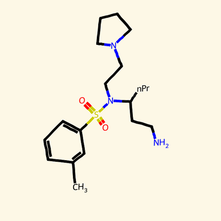 CCCC(CCN)N(CCN1CCCC1)S(=O)(=O)c1cccc(C)c1